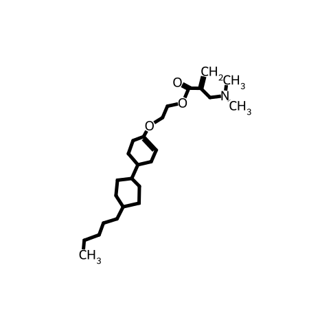 C=C(CN(C)C)C(=O)OCCOC1=CCC(C2CCC(CCCCC)CC2)CC1